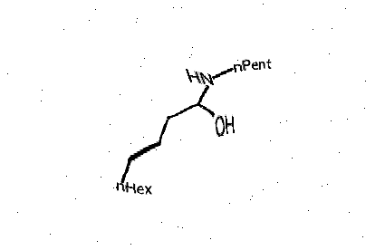 CCCCCCCCCC(O)NCCCCC